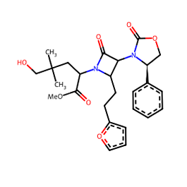 COC(=O)C(CC(C)(C)CO)N1C(=O)C(N2C(=O)OC[C@H]2c2ccccc2)C1CCc1ccco1